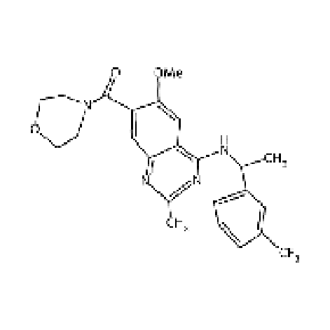 COc1cc2c(NC(C)c3cccc(C(F)(F)F)c3)nc(C)nc2cc1C(=O)N1CCOCC1